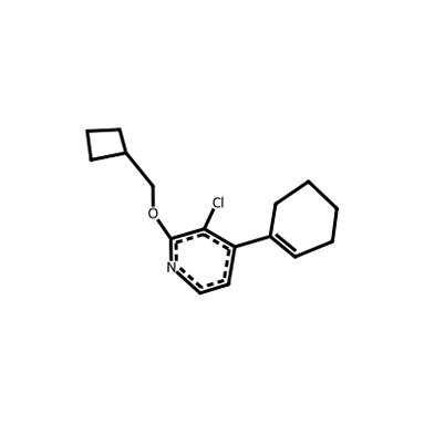 Clc1c(C2=CCCCC2)ccnc1OCC1CCC1